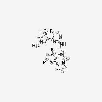 Cc1nn(C)cc1-c1nc(NCCNC(=O)N2N=CC[C@H]2c2cc(F)cc(F)c2)ncc1F